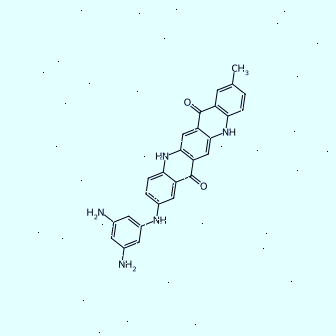 Cc1ccc2[nH]c3cc4c(=O)c5cc(Nc6cc(N)cc(N)c6)ccc5[nH]c4cc3c(=O)c2c1